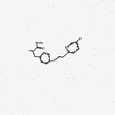 CCc1ccc(CCOc2ccc(CC(C)C(=O)NC(C)=O)cc2)nc1